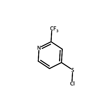 FC(F)(F)c1cc(SCl)ccn1